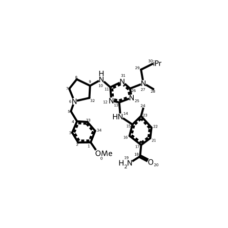 COc1ccc(CN2CCC(Nc3nc(Nc4cc(C(N)=O)ccc4C)nc(N(C)CC(C)C)n3)C2)cc1